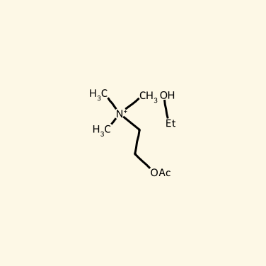 CC(=O)OCC[N+](C)(C)C.CCO